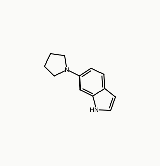 c1cc2ccc(N3CCCC3)cc2[nH]1